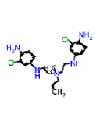 C=CC[N+](C)(CCNc1ccc(N)c(Cl)c1)CCNc1ccc(N)c(Cl)c1